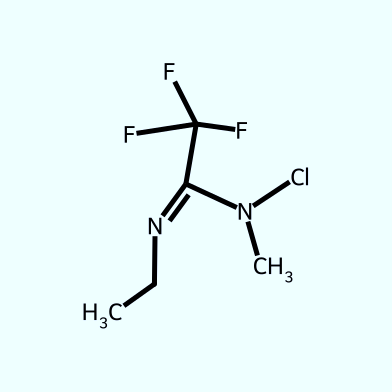 CC/N=C(\N(C)Cl)C(F)(F)F